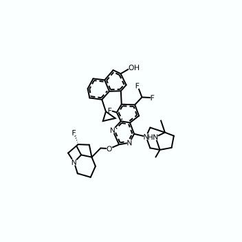 CC1N2CCCC1(COc1nc(N3CC4(C)CCC(C)(C3)N4)c3cc(C(F)F)c(-c4cc(O)cc5cccc(C6CC6)c45)c(F)c3n1)C[C@@H](F)C2